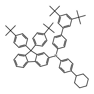 CC(C)(C)c1ccc(C2(c3ccc(C(C)(C)C)cc3)c3ccccc3-c3ccc(N(c4ccc(-c5cc(C(C)(C)C)cc(C(C)(C)C)c5)cc4)c4ccc(C5CCCCC5)cc4)cc32)cc1